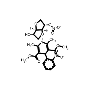 COC(=O)C1=C(C)NC(C)=C(C(=O)OC)C1c1ccccc1[N+](=O)[O-].O=[N+]([O-])O[C@@H]1CO[C@H]2[C@@H]1OC[C@@H]2O